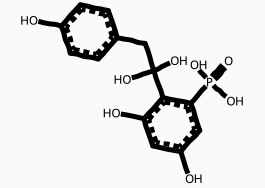 O=P(O)(O)c1cc(O)cc(O)c1C(O)(O)Cc1ccc(O)cc1